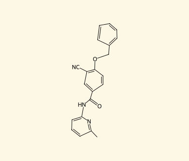 Cc1cccc(NC(=O)c2ccc(OCc3ccccc3)c(C#N)c2)n1